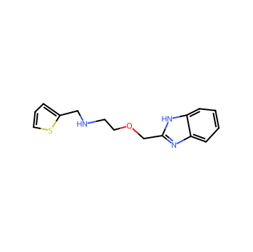 c1csc(CNCCOCc2nc3ccccc3[nH]2)c1